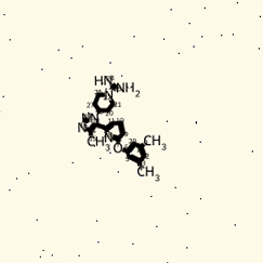 Cc1cc(C)cc(Oc2cccc(-c3c(C)nnn3C3CCN(C(=N)N)CC3)n2)c1